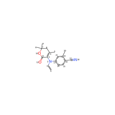 C=CN(C1=C(C)CC(C)(C)OC1=O)c1ccc(C#N)c(C)c1